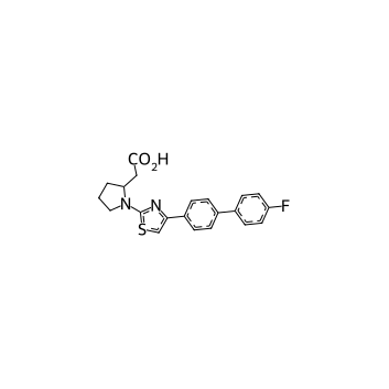 O=C(O)CC1CCCN1c1nc(-c2ccc(-c3ccc(F)cc3)cc2)cs1